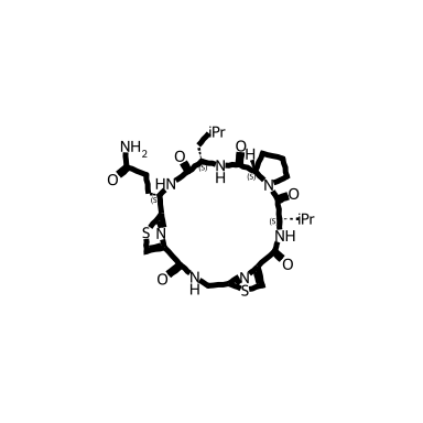 CC(C)C[C@@H]1NC(=O)[C@@H]2CCCN2C(=O)[C@H](C(C)C)NC(=O)c2csc(n2)CNC(=O)c2csc(n2)[C@H](CCC(N)=O)NC1=O